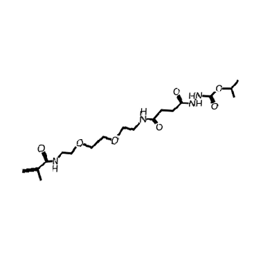 C=C(C)C(=O)NCCOCCOCCNC(=O)CCC(=O)NNC(=O)OC(C)C